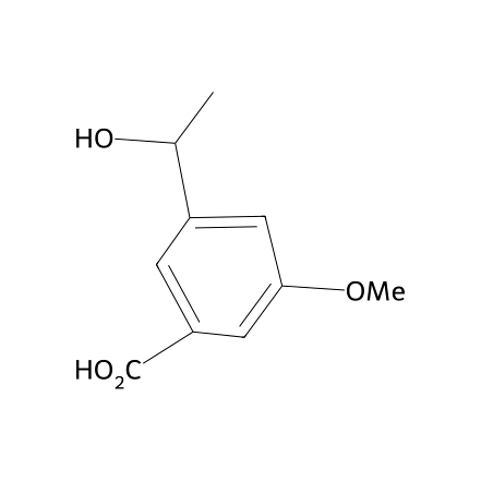 COc1cc(C(=O)O)cc(C(C)O)c1